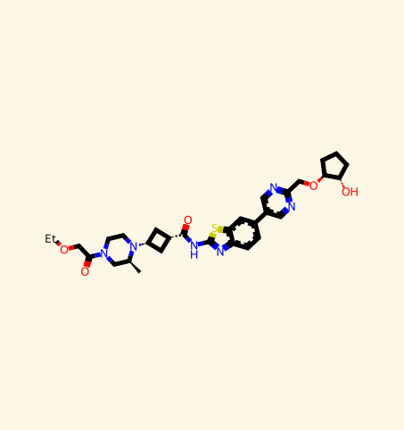 CCOCC(=O)N1CCN([C@H]2C[C@@H](C(=O)Nc3nc4ccc(-c5cnc(CO[C@H]6CCC[C@@H]6O)nc5)cc4s3)C2)[C@@H](C)C1